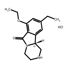 CCOc1cc(CC)cc2c1C(=O)N1CCNC[C@@H]21.Cl